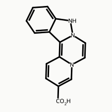 O=C(O)C1=CN2C=CN3Nc4ccccc4C3=C2C=C1